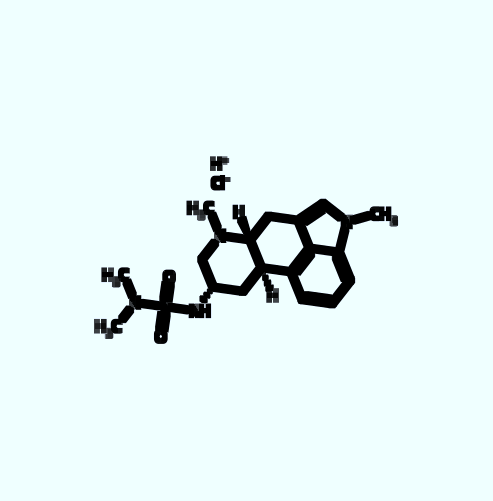 CN1C[C@@H](NS(=O)(=O)N(C)C)C[C@@H]2c3cccc4c3c(cn4C)C[C@H]21.[Cl-].[H+]